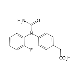 NC(=O)N(c1ccc(CC(=O)O)cc1)c1ccccc1F